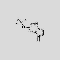 CC1(Oc2cnc3cc[nH]c3c2)CC1